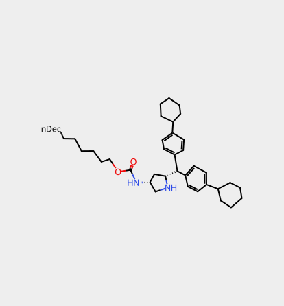 CCCCCCCCCCCCCCCCOC(=O)N[C@H]1CN[C@@H](C(c2ccc(C3CCCCC3)cc2)c2ccc(C3CCCCC3)cc2)C1